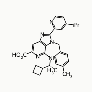 Cc1ccc(Cn2c(-c3cc(C(C)C)ccn3)nc3cc(C(=O)O)nc(N[C@H](C)C4CCC4)c32)cc1